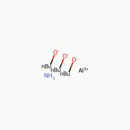 CCCC[O-].CCCC[O-].CCCC[O-].N.[Al+3]